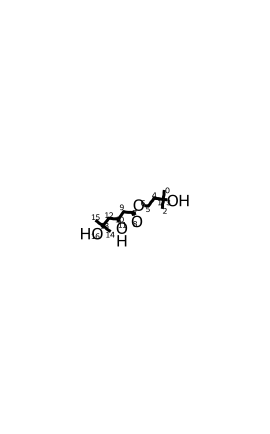 CC(C)(O)CCOC(=O)CC(O)CC(C)(C)O